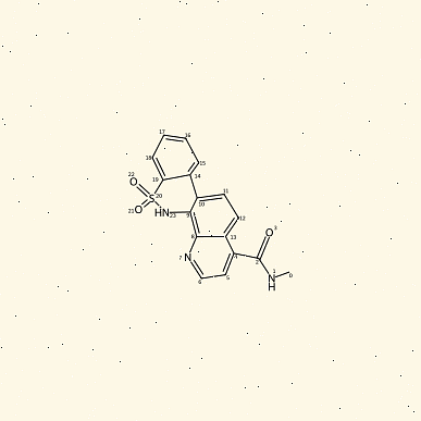 CNC(=O)c1ccnc2c3c(ccc12)-c1ccccc1S(=O)(=O)N3